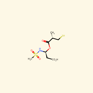 C[C@H](CS)C(=O)O[C@@H](CC(=O)O)NS(C)(=O)=O